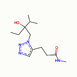 CCC(O)(Cn1nncc1CCC(=O)NC)C(C)C